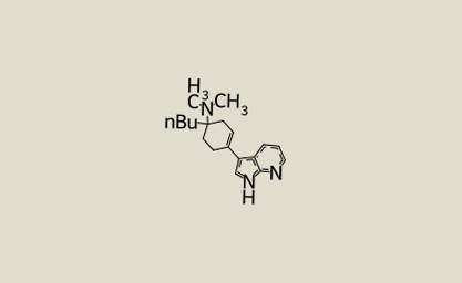 CCCCC1(N(C)C)CC=C(c2c[nH]c3ncccc23)CC1